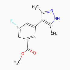 COC(=O)c1cc(F)cc(-c2c(C)n[nH]c2C)c1